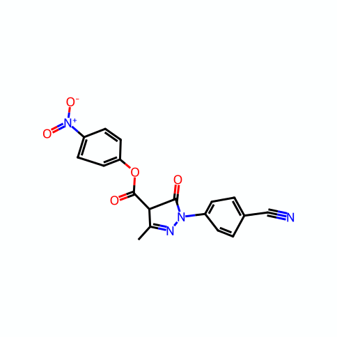 CC1=NN(c2ccc(C#N)cc2)C(=O)C1C(=O)Oc1ccc([N+](=O)[O-])cc1